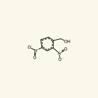 O=[N+]([O-])c1ccc(CO)c([N+](=O)[O-])c1